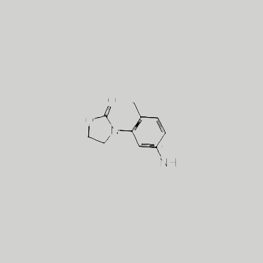 Cc1ccc(N)cc1N1CCOC1=O